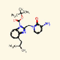 CC(C)Cc1cccc2c1nc(Cn1cccc(N)c1=O)n2C(=O)OC(C)(C)C